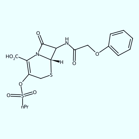 CCCS(=O)(=O)OC1=C(C(=O)O)N2C(=O)C(NC(=O)COc3ccccc3)[C@@H]2SC1